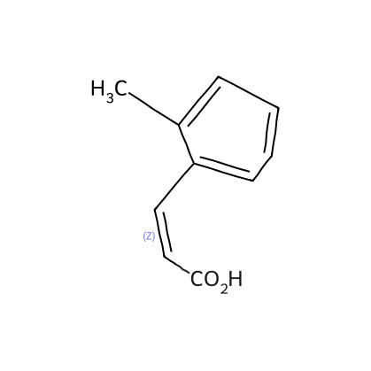 Cc1ccccc1/C=C\C(=O)O